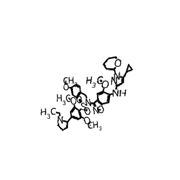 CCN1CCCC1c1cc(OC)c(S(=O)(=O)N(Cc2ccc(OC)cc2)c2noc3cc(Nc4cc(C5CC5)n(C5CCCCO5)n4)c(OC)cc23)c(OC)c1